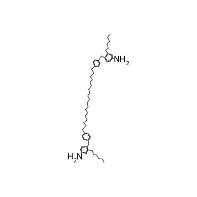 CCCCCCc1cc(N)ccc1Cc1ccc(CCCCCCCCCCCCCCCCCCCc2ccc(Cc3ccc(N)cc3CCCCCC)cc2)cc1